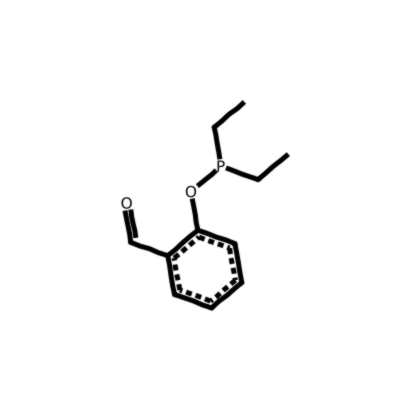 CCP(CC)Oc1ccccc1C=O